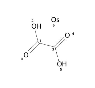 O=C(O)C(=O)O.[Os]